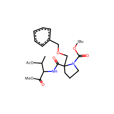 COC(=O)C(NC(=O)C1(COCc2ccccc2)CCCN1C(=O)OC(C)(C)C)C(C)OC(C)=O